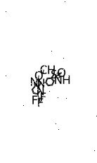 CCOc1nc2ccc(C(F)(F)F)nc2n1-c1ccc2[nH]c(=O)sc2c1